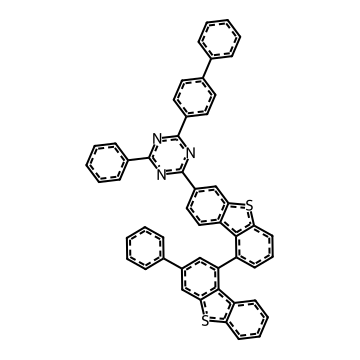 c1ccc(-c2ccc(-c3nc(-c4ccccc4)nc(-c4ccc5c(c4)sc4cccc(-c6cc(-c7ccccc7)cc7sc8ccccc8c67)c45)n3)cc2)cc1